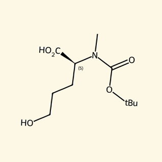 CN(C(=O)OC(C)(C)C)[C@@H](CCCO)C(=O)O